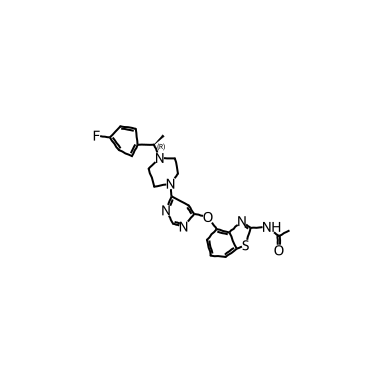 CC(=O)Nc1nc2c(Oc3cc(N4CCN([C@H](C)c5ccc(F)cc5)CC4)ncn3)cccc2s1